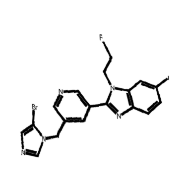 FCCn1c(-c2cncc(Cn3cncc3Br)c2)nc2ccc(I)cc21